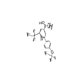 OB(O)c1cc(-c2ccc(OC(F)(F)F)cc2)nc(C(F)(F)F)c1